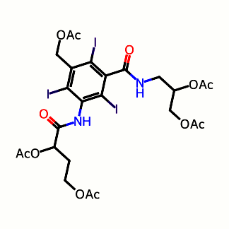 CC(=O)OCCC(OC(C)=O)C(=O)Nc1c(I)c(COC(C)=O)c(I)c(C(=O)NCC(COC(C)=O)OC(C)=O)c1I